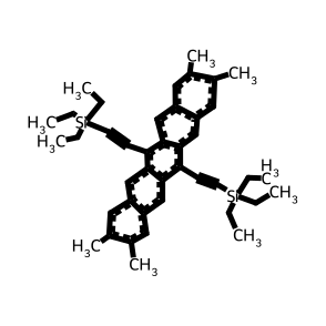 CC[Si](C#Cc1c2cc3cc(C)c(C)cc3cc2c(C#C[Si](CC)(CC)CC)c2cc3cc(C)c(C)cc3cc12)(CC)CC